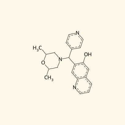 CC1CN(C(c2ccncc2)c2cc3ncccc3cc2O)CC(C)O1